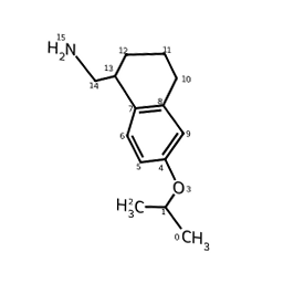 CC(C)Oc1ccc2c(c1)CCCC2CN